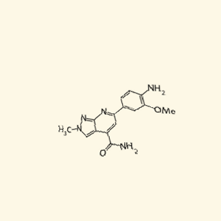 COc1cc(-c2cc(C(N)=O)c3cn(C)nc3n2)ccc1N